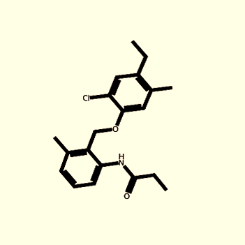 CCC(=O)Nc1cccc(C)c1COc1cc(C)c(CC)cc1Cl